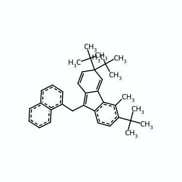 Cc1c(C(C)(C)C)ccc2c1C1=CC(C(C)(C)C)(C(C)(C)C)C=CC1=C2Cc1cccc2ccccc12